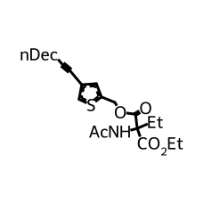 CCCCCCCCCCC#Cc1csc(COC(=O)C(CC)(NC(C)=O)C(=O)OCC)c1